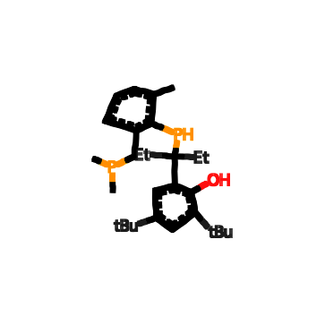 CCC(CC)(Pc1c(C)cccc1CP(C)C)c1cc(C(C)(C)C)cc(C(C)(C)C)c1O